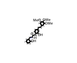 COc1cc(C=Cc2ccc(NC(=O)/C=C/c3ccccc3O)c(O)c2)cc(OC)c1OC